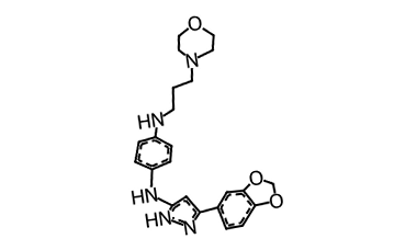 c1cc(Nc2cc(-c3ccc4c(c3)OCO4)n[nH]2)ccc1NCCCN1CCOCC1